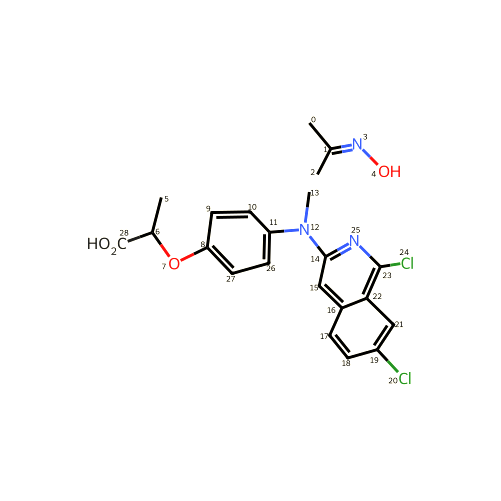 CC(C)=NO.CC(Oc1ccc(N(C)c2cc3ccc(Cl)cc3c(Cl)n2)cc1)C(=O)O